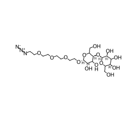 [N-]=[N+]=NCCOCCOCCOCCO[C@@H]1OC(CO)[C@@H](O[C@@H]2OC(CO)[C@H](O)C(O)[C@@H]2O)C(O)[C@@H]1O